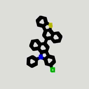 Clc1ccc2c3cc(-c4cc5c6ccccc6sc5c5ccccc45)c4ccccc4c3n(-c3ccccc3)c2c1